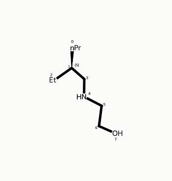 CCC[C@H](CC)CNCCO